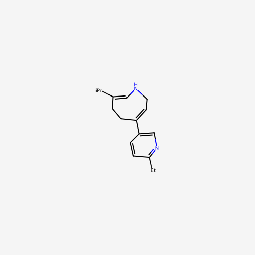 CCc1ccc(/C2=C/CN/C=C(\C(C)C)CC2)cn1